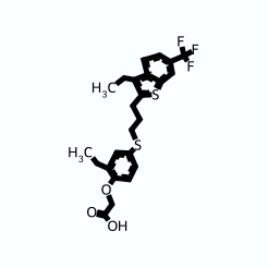 CCc1cc(SCCCc2sc3cc(C(F)(F)F)ccc3c2CC)ccc1OCC(=O)O